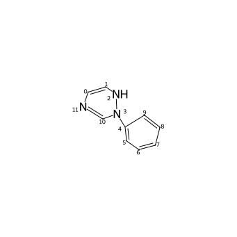 C1=CNN(c2ccccc2)C=N1